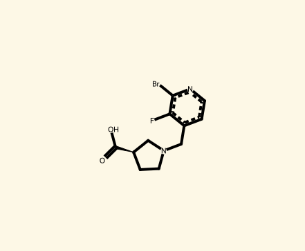 O=C(O)[C@@H]1CCN(Cc2ccnc(Br)c2F)C1